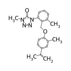 C=C(C)c1ccc(OCc2c(C)cccc2-n2nnn(C)c2=O)c(C)c1